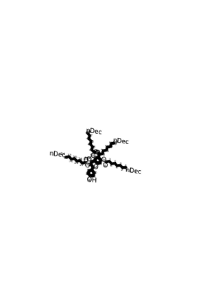 CCCCCCCCCCCCCCCCCC(=O)Oc1cc2oc(-c3ccc(O)cc3)c(OC(=O)CCCCCCCCCCCCCCCCC)c(=O)c2c(OC(=O)CCCCCCCCCCCCCCCCC)c1C(=O)CCCCCCCCCCCCCCCCC